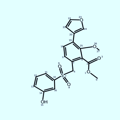 COC(=O)c1c(CS(=O)(=O)c2cccc(O)c2)ccc(-c2ccoc2)c1OC